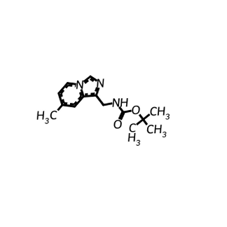 Cc1ccn2cnc(CNC(=O)OC(C)(C)C)c2c1